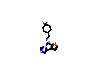 FC1(F)CCC(CC[C@@H]2c3sccc3-c3cncn32)CC1